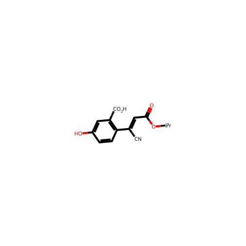 CC(C)OC(=O)C=C(C#N)c1ccc(O)cc1C(=O)O